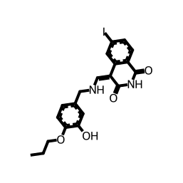 CCCOc1ccc(CN/C=C2\C(=O)NC(=O)c3ccc(I)cc32)cc1O